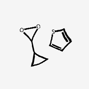 C1CC1C1OO1.c1ccsc1